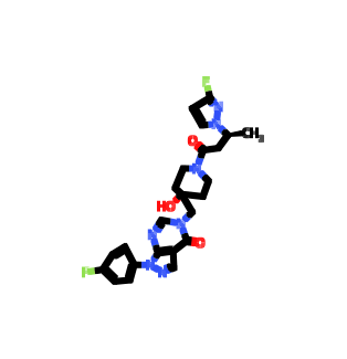 C[C@@H](CC(=O)N1CCC(O)(Cn2cnc3c(cnn3-c3ccc(F)cc3)c2=O)CC1)n1ccc(F)n1